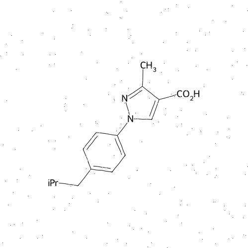 Cc1nn(-c2ccc(CC(C)C)cc2)cc1C(=O)O